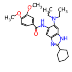 CCN(CC)c1cc2[nH]c(C3CCCCC3)nc2cc1NC(=O)c1ccc(OC)c(OC)c1